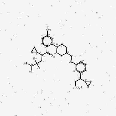 O=C(O)CC(c1ccnc(OCC2CCN(c3cc(O)ccc3C(=O)N(CC(F)(F)C(F)F)C3CC3)CC2)c1)C1CC1